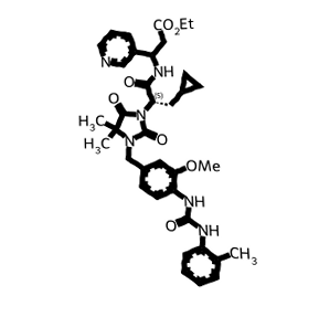 CCOC(=O)CC(NC(=O)[C@H](CC1CC1)N1C(=O)N(Cc2ccc(NC(=O)Nc3ccccc3C)c(OC)c2)C(C)(C)C1=O)c1cccnc1